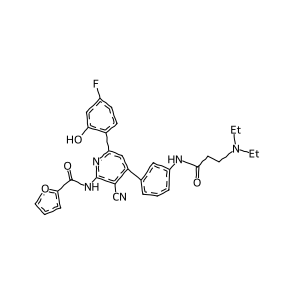 CCN(CC)CCC(=O)Nc1cccc(-c2cc(-c3ccc(F)cc3O)nc(NC(=O)c3ccco3)c2C#N)c1